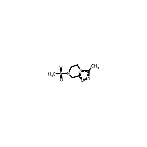 Cc1nnc2n1CCN(S(C)(=O)=O)C2